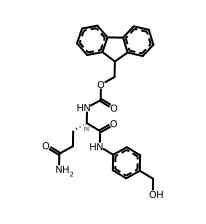 NC(=O)CC[C@H](NC(=O)OCC1c2ccccc2-c2ccccc21)C(=O)Nc1ccc(CO)cc1